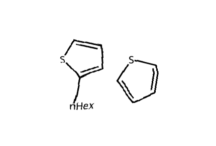 CCCCCCc1cccs1.c1ccsc1